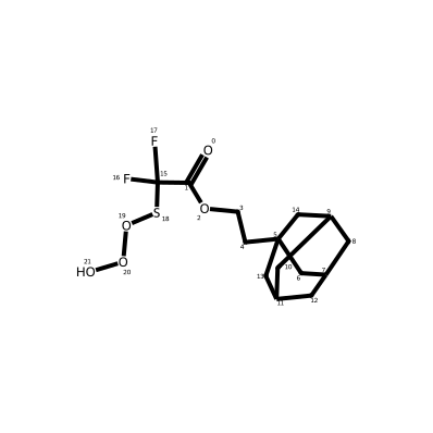 O=C(OCCC12CC3CC(CC(C3)C1)C2)C(F)(F)SOOO